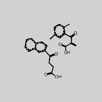 C=C(C(=O)O)C(=O)c1cc(C)ccc1C.O=C(O)CCC(=O)c1ccc2ccccc2c1